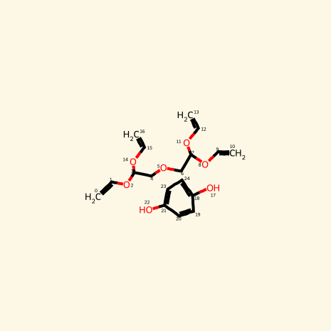 C=COC(COCC(OC=C)OC=C)OC=C.Oc1ccc(O)cc1